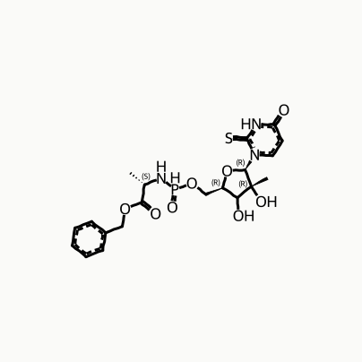 C[C@H](N[PH](=O)OC[C@H]1O[C@@H](n2ccc(=O)[nH]c2=S)[C@](C)(O)C1O)C(=O)OCc1ccccc1